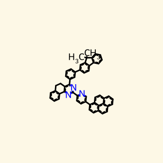 CC1(C)c2ccccc2-c2ccc(-c3cccc(-c4nc(-c5ccc(-c6ccc7ccc8cccc9ccc6c7c89)cn5)nc5c4CCc4ccccc4-5)c3)cc21